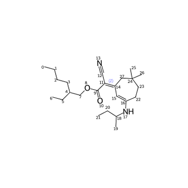 CCCCC(CC)COC(=O)/C(C#N)=C1\C=C(NC(C)CC)CCC(C)(C)C1